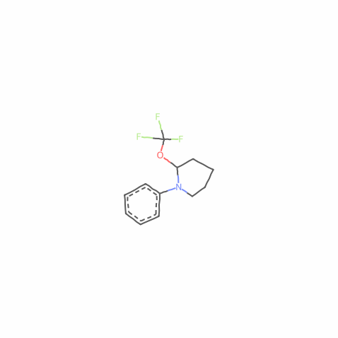 FC(F)(F)OC1CCCCN1c1ccccc1